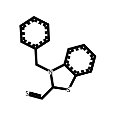 S=CC1Sc2ccccc2N1Cc1ccccc1